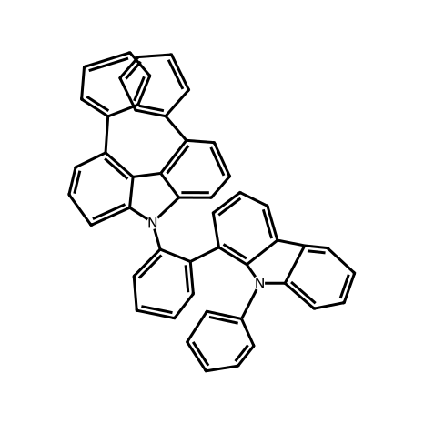 c1ccc(-c2cccc3c2c2c(-c4ccccc4)cccc2n3-c2ccccc2-c2cccc3c4ccccc4n(-c4ccccc4)c23)cc1